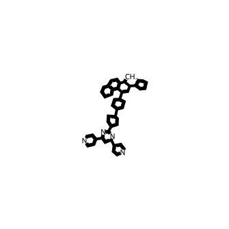 C=C1c2ccc3ccccc3c2C(c2ccc(-c3ccc(-c4nc(-c5ccncc5)cc(-c5ccncc5)n4)cc3)cc2)=CC1c1ccccc1